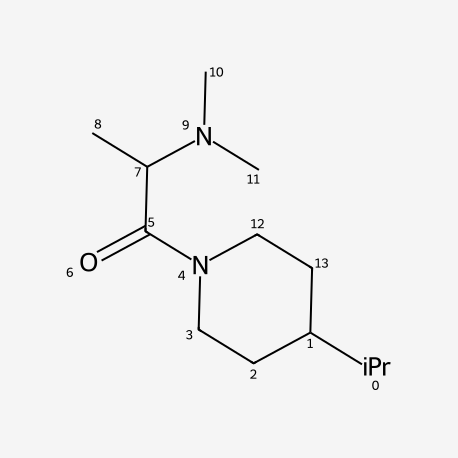 CC(C)C1CCN(C(=O)C(C)N(C)C)CC1